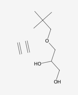 C=C.C=C.CC(C)(C)COCC(O)CO